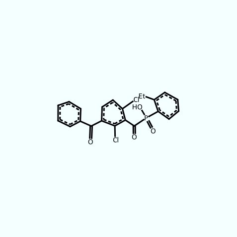 CCc1ccccc1P(=O)(O)C(=O)c1c(Cl)ccc(C(=O)c2ccccc2)c1Cl